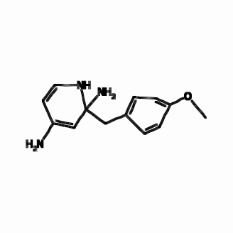 COc1ccc(CC2(N)C=C(N)C=CN2)cc1